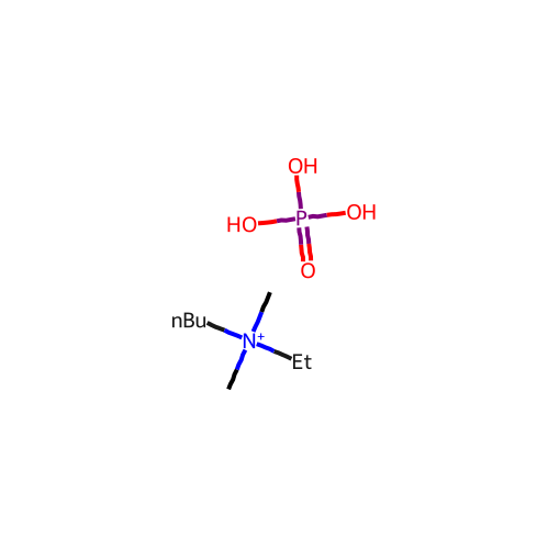 CCCC[N+](C)(C)CC.O=P(O)(O)O